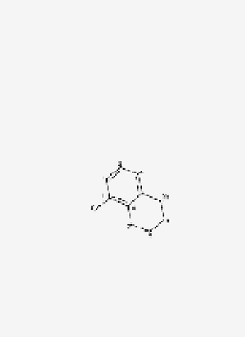 Cc1cccc2c1CCC[CH]2